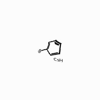 [B]c1ccccc1.[CsH]